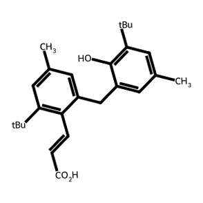 Cc1cc(Cc2cc(C)cc(C(C)(C)C)c2C=CC(=O)O)c(O)c(C(C)(C)C)c1